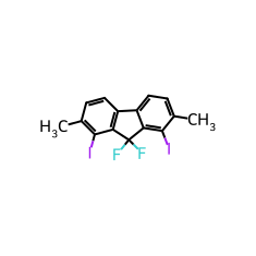 Cc1ccc2c(c1I)C(F)(F)c1c-2ccc(C)c1I